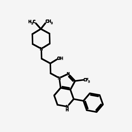 CC1(C)CCN(CC(O)Cn2nc(C(F)(F)F)c3c2CCNC3c2ccccc2)CC1